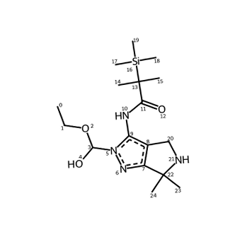 CCOC(O)n1nc2c(c1NC(=O)C(C)(C)[Si](C)(C)C)CNC2(C)C